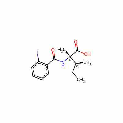 CC[C@H](C)[C@](C)(NC(=O)c1ccccc1I)C(=O)O